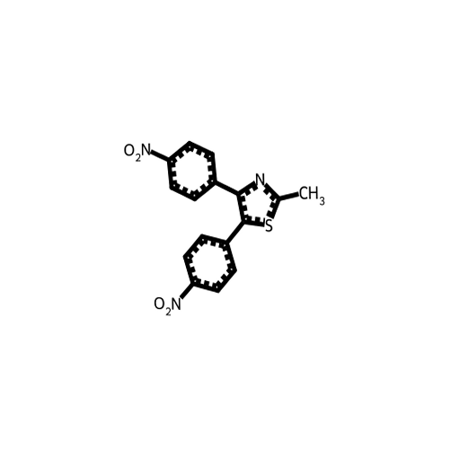 Cc1nc(-c2ccc([N+](=O)[O-])cc2)c(-c2ccc([N+](=O)[O-])cc2)s1